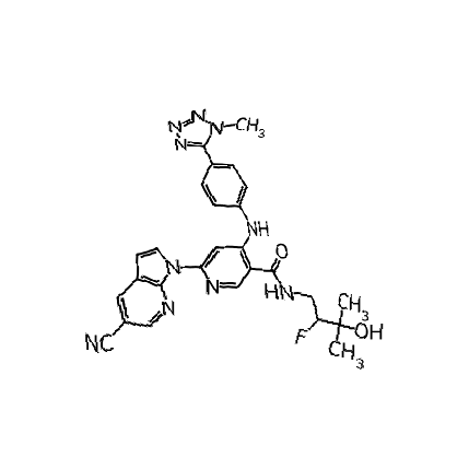 Cn1nnnc1-c1ccc(Nc2cc(-n3ccc4cc(C#N)cnc43)ncc2C(=O)NCC(F)C(C)(C)O)cc1